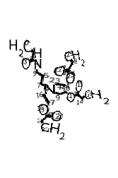 C=CC(=O)NCCC[N+](CCOC(=O)C=C)(CCOC(=O)C=C)CCOC(=O)C=C